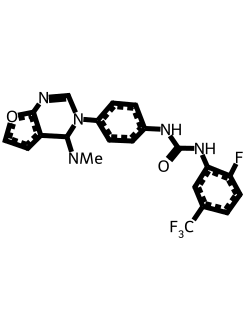 CNC1c2ccoc2N=CN1c1ccc(NC(=O)Nc2cc(C(F)(F)F)ccc2F)cc1